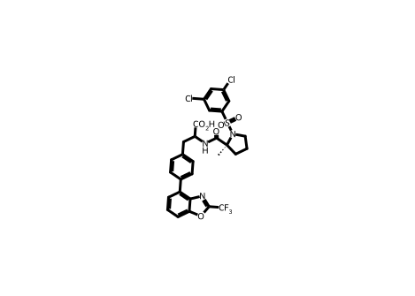 C[C@@]1(C(=O)NC(Cc2ccc(-c3cccc4oc(C(F)(F)F)nc34)cc2)C(=O)O)CCCN1S(=O)(=O)c1cc(Cl)cc(Cl)c1